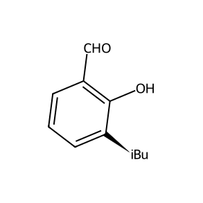 CC[C@H](C)c1cccc(C=O)c1O